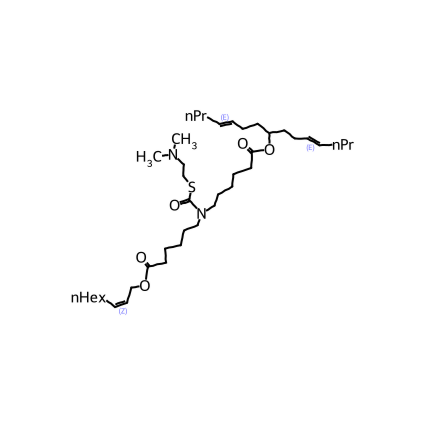 CCC/C=C/CCC(CC/C=C/CCC)OC(=O)CCCCCN(CCCCCC(=O)OC/C=C\CCCCCC)C(=O)SCCN(C)C